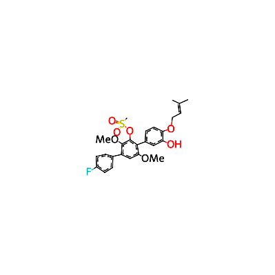 COc1cc(-c2ccc(F)cc2)c(OC)c(OS(C)(=O)=O)c1-c1ccc(OCC=C(C)C)c(O)c1